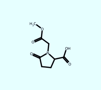 COC(=O)CN1C(=O)CCC1C(=O)O